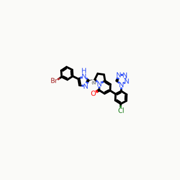 O=c1cc(-c2cc(Cl)ccc2-n2cnnn2)cc2n1[C@H](c1ncc(-c3cccc(Br)c3)[nH]1)CC2